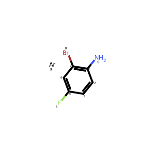 Nc1ccc(F)cc1Br.[Ar]